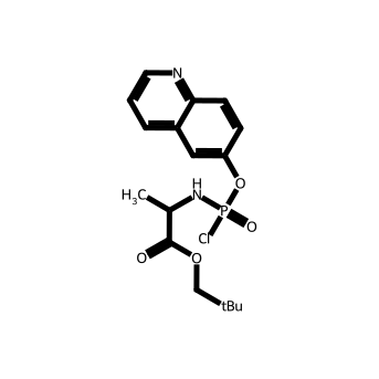 CC(NP(=O)(Cl)Oc1ccc2ncccc2c1)C(=O)OCC(C)(C)C